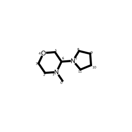 CN1CCOCC1N1C[CH]CC1